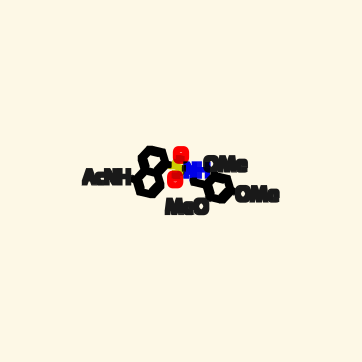 COc1cc(OC)c(CNS(=O)(=O)c2cccc3c(NC(C)=O)cccc23)c(OC)c1